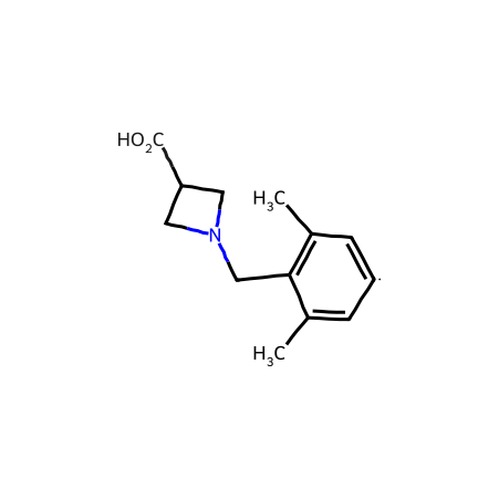 Cc1c[c]cc(C)c1CN1CC(C(=O)O)C1